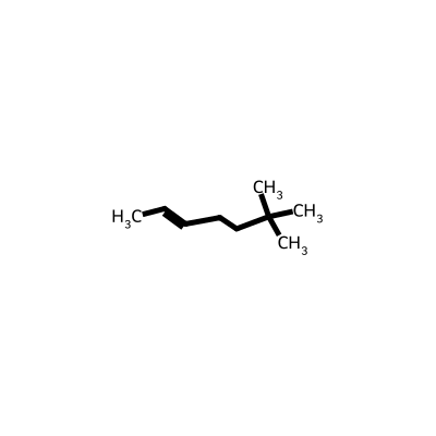 CC=CCCC(C)(C)C